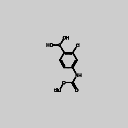 CC(C)(C)OC(=O)Nc1ccc(B(O)O)c(Cl)c1